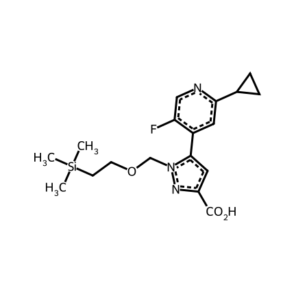 C[Si](C)(C)CCOCn1nc(C(=O)O)cc1-c1cc(C2CC2)ncc1F